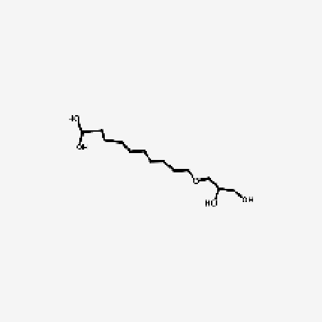 OCC(O)COCCCCCCCCCC(O)O